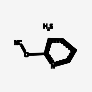 N#COc1ccccn1.S